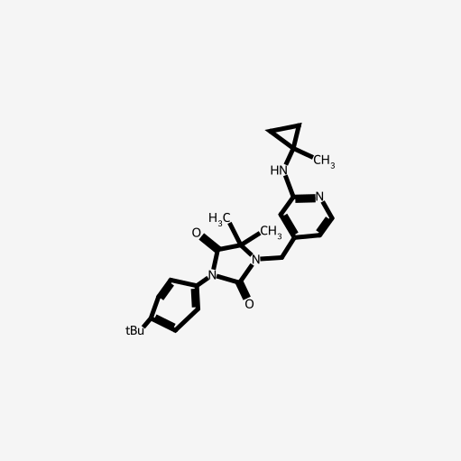 CC1(Nc2cc(CN3C(=O)N(c4ccc(C(C)(C)C)cc4)C(=O)C3(C)C)ccn2)CC1